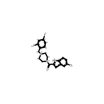 O=C(c1cc2cc(Cl)ccc2[nH]1)N1CCN(Cc2ccc(F)cc2F)CC1